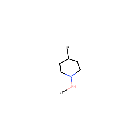 CCBN1CCC(C(C)CC)CC1